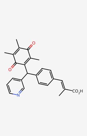 CC(=Cc1ccc(C(C2=C(C)C(=O)C(C)=C(C)C2=O)c2cccnc2)cc1)C(=O)O